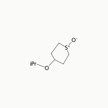 CC(C)OC1CC[S+]([O-])CC1